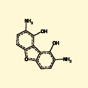 Nc1ccc2oc3ccc(N)c(O)c3c2c1O